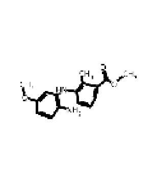 COC(=O)c1cccc(Nc2cc(OC)ccc2N)c1C